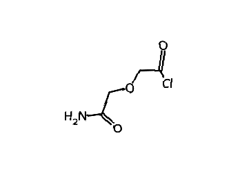 NC(=O)COCC(=O)Cl